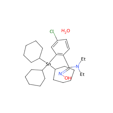 CCN(CC)C(=NO)c1ccc(Cl)c[c]1[Sn]([CH]1CCCCC1)([CH]1CCCCC1)[CH]1CCCCC1.O